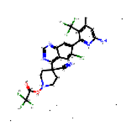 Cc1cc(N)nc(-c2cc3ncnc(C4(C#N)CCN(OC(=O)C(F)(F)F)CC4)c3cc2Cl)c1C(F)(F)F